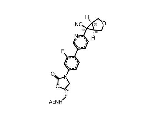 CC(=O)NC[C@H]1CN(c2ccc(-c3ccc([C@@]4(C#N)[C@@H]5COC[C@@H]54)nc3)c(F)c2)C(=O)O1